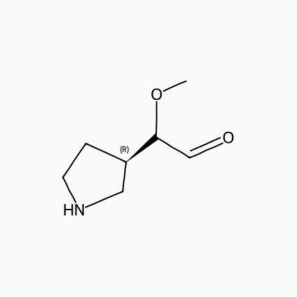 COC(C=O)[C@@H]1CCNC1